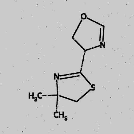 CC1(C)CSC(C2COC=N2)=N1